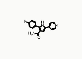 NC(=O)c1cc(-c2ccncc2)[nH]c1-c1ccc(F)cc1